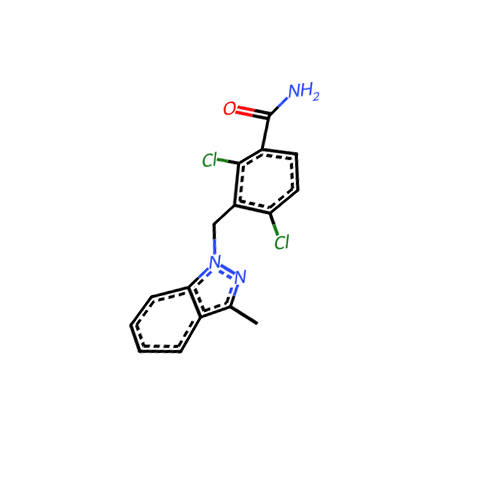 Cc1nn(Cc2c(Cl)ccc(C(N)=O)c2Cl)c2ccccc12